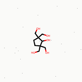 OCC1(CO)CCC(CO)(CO)C1O